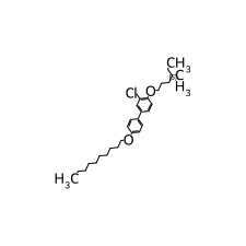 CCCCCCCCCCOc1ccc(-c2ccc(OCCC[C@@H](C)CC)c(Cl)c2)cc1